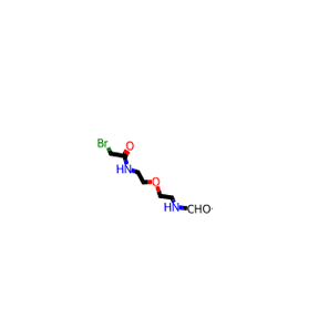 O=[C]NCCOCCNC(=O)CBr